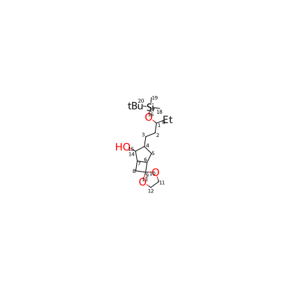 CCC(CCC1CC2C(CC23OCCO3)C1O)O[Si](C)(C)C(C)(C)C